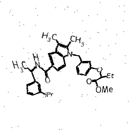 CCC(Oc1cccc(Cn2c(C)c(C)c3cc(C(=O)NC(C)c4cccc(C(C)C)c4)ccc32)c1)C(=O)OC